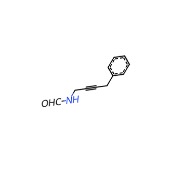 O=CNCC#CCc1ccccc1